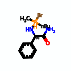 CCCC[PH](C)(Br)N[C@@H](C(N)=O)c1ccccc1